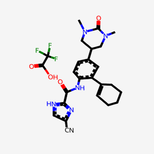 CN1CC(c2ccc(NC(=O)c3nc(C#N)c[nH]3)c(C3=CCCCC3)c2)CN(C)C1=O.O=C(O)C(F)(F)F